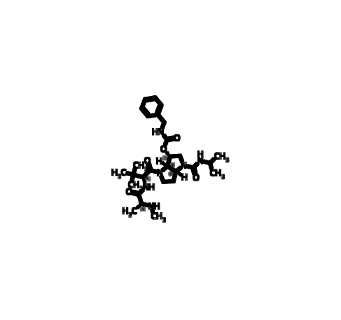 CN[C@@H](C)C(=O)N[C@H](C(=O)N1CC[C@@H]2[C@H]1[C@@H](OC(=O)NCc1ccccc1)CN2C(=O)NC(C)C)C(C)(C)C